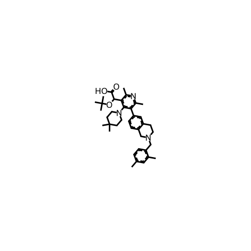 Cc1ccc(CN2CCc3cc(-c4c(C)nc(C)c(C(OC(C)(C)C)C(=O)O)c4N4CCC(C)(C)CC4)ccc3C2)c(C)c1